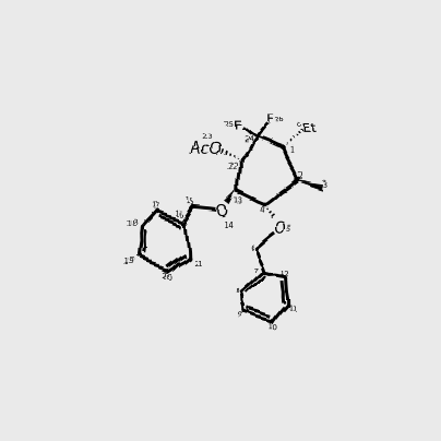 CC[C@@H]1[C@@H](C)[C@H](OCc2ccccc2)[C@@H](OCc2ccccc2)[C@H](OC(C)=O)C1(F)F